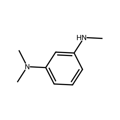 CNc1cccc(N(C)C)c1